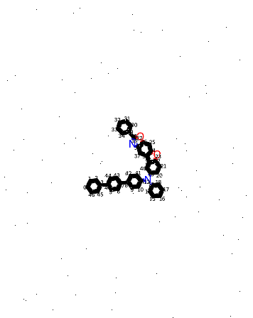 c1ccc(-c2ccc(-c3ccc(N(c4ccccc4)c4ccc5oc6cc7oc(-c8ccccc8)nc7cc6c5c4)cc3)cc2)cc1